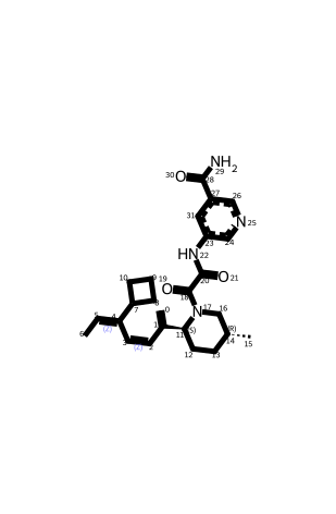 C=C(/C=C\C(=C/C)C1CCC1)[C@@H]1CC[C@@H](C)CN1C(=O)C(=O)Nc1cncc(C(N)=O)c1